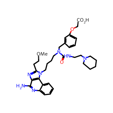 COCCc1nc2c(N)nc3ccccc3c2n1CCCCN(Cc1cccc(OCC(=O)O)c1)C(=O)NCCN1CCCCC1